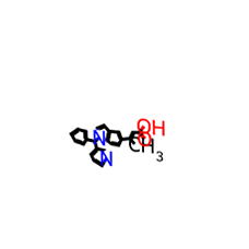 CC(=CC(=O)O)c1ccc2c(ccn2C(c2ccccc2)c2cccnc2)c1